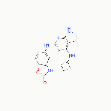 O=c1[nH]c2cc(Nc3nc(NC4CCC4)c4cc[nH]c4n3)ccc2o1